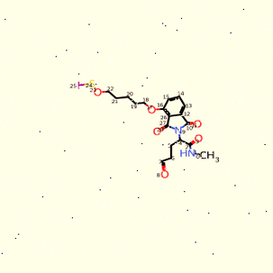 CNC(=O)C(CCC=O)N1C(=O)c2cccc(OCCCCCOSI)c2C1=O